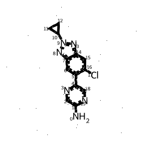 Nc1cnc(-c2cc3nn(C4CC4)nc3cc2Cl)cn1